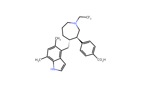 Cc1cc(C)c2[nH]ccc2c1C[C@@H]1CCCN(CC(F)(F)F)C[C@H]1c1ccc(C(=O)O)cc1